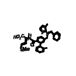 CSCC[C@H](NC(=O)c1ccc(CN(Cc2ccccc2)c2sccc2C)cc1-c1ccccc1C)C(=O)O